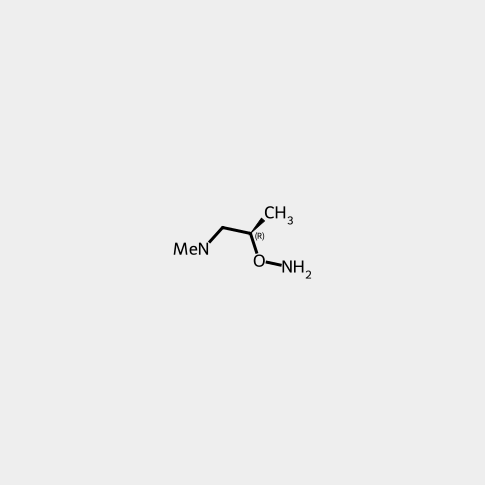 CNC[C@@H](C)ON